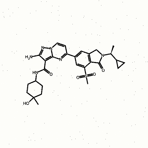 C[C@@H](C1CC1)N1Cc2cc(-c3ccn4nc(N)c(C(=O)NC5CCC(C)(O)CC5)c4n3)cc(S(C)(=O)=O)c2C1=O